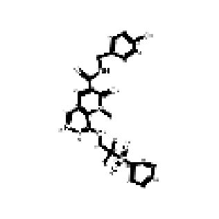 Cn1c(=O)c(C(=O)NCc2ccc(Cl)cc2)cc2cnnc(OCC(C)(C)S(=O)(=O)c3ccccc3)c21